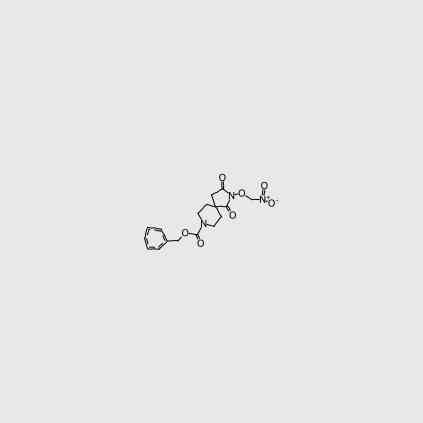 O=C(OCc1ccccc1)N1CCC2(CC1)CC(=O)N(OC[N+](=O)[O-])C2=O